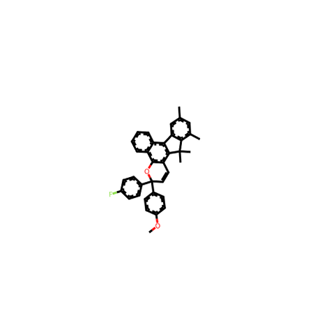 COc1ccc(C2(c3ccc(F)cc3)C=Cc3c4c(c5ccccc5c3O2)-c2cc(C)cc(C)c2C4(C)C)cc1